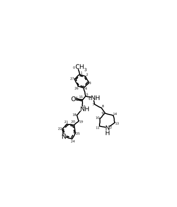 Cc1ccc(C(NCCC2CCNCC2)C(=O)NCCc2ccncc2)cc1